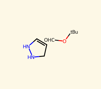 C1=CNNC1.CC(C)(C)OC=O